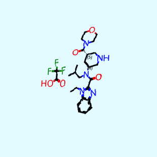 CCn1c(C(=O)N(CC(C)C)[C@H]2CNC[C@@H](C(=O)N3CCOCC3)C2)nc2ccccc21.O=C(O)C(F)(F)F